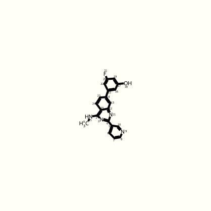 CNc1nc(-c2cccnc2)nc2cc(-c3cc(O)cc(F)c3)ccc12